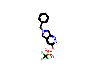 O=S(=O)(Oc1cc2c(nn1)CN(Cc1ccccc1)C2)C(F)(F)F